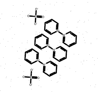 O=P([O-])([O-])[O-].O=P([O-])([O-])[O-].c1cc[n+](-[n+]2ccccc2)cc1.c1cc[n+](-[n+]2ccccc2)cc1.c1cc[n+](-[n+]2ccccc2)cc1